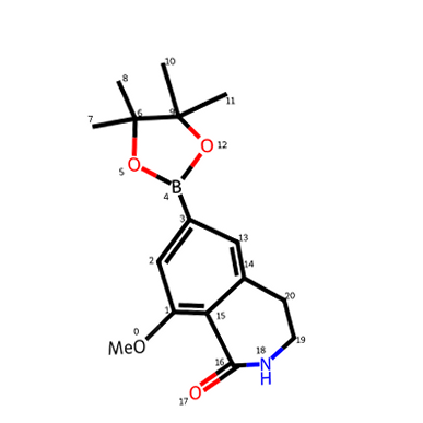 COc1cc(B2OC(C)(C)C(C)(C)O2)cc2c1C(=O)NCC2